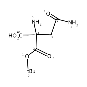 CC(C)(C)OC(=O)[C@@](N)(CC(N)=O)C(=O)O